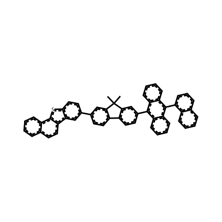 CC1(C)c2cc(-c3ccc4sc5c6ccccc6ccc5c4c3)ccc2-c2ccc(-c3c4ccccc4c(-c4cccc5ccccc45)c4ccccc34)cc21